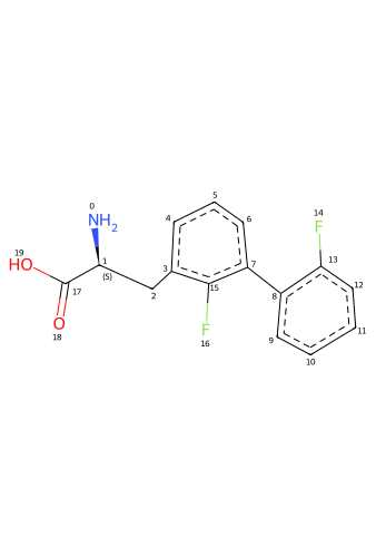 N[C@@H](Cc1cccc(-c2ccccc2F)c1F)C(=O)O